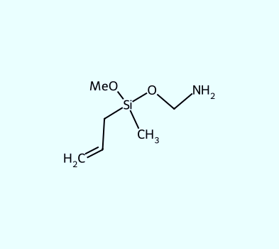 C=CC[Si](C)(OC)OCN